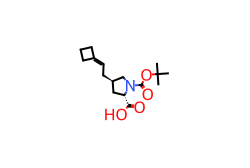 CC(C)(C)OC(=O)N1C[C@H](CC=C2CCC2)C[C@H]1C(=O)O